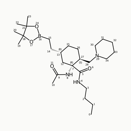 CCCCNC(=O)[C@@]1(NC(C)=O)C[C@H](CCB2OC(C)(C)C(C)(C)O2)CC[C@H]1CN1CCCCC1